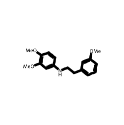 COc1cccc(CCNc2ccc(OC)c(OC)c2)c1